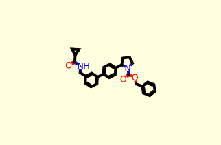 O=C(NCc1cccc(-c2ccc(C3CCCN3C(=O)OCc3ccccc3)cc2)c1)C1CC1